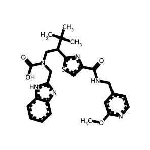 COc1cc(CNC(=O)c2csc(C(CN(Cc3nc4ccccc4[nH]3)C(=O)O)C(C)(C)C)n2)ccn1